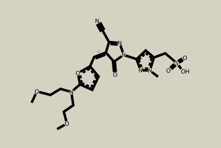 COCCN(CCOC)c1ccc(/C=C2\C(=O)N(c3cc(CS(=O)(=O)O)n(C)n3)N=C2C#N)o1